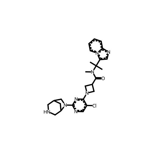 CN(C(=O)C1CN(c2nc(N3CC4CNCC3C4)ncc2Cl)C1)C(C)(C)c1cnc2ccccn12